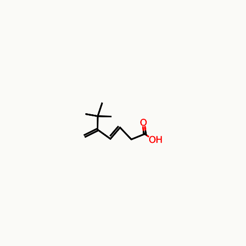 C=C(C=CCC(=O)O)C(C)(C)C